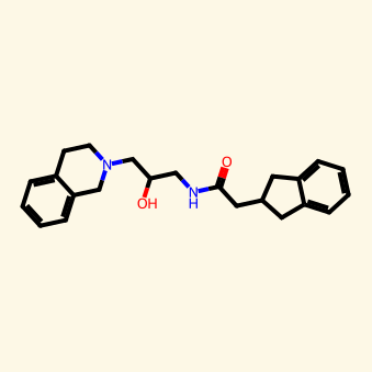 O=C(CC1Cc2ccccc2C1)NCC(O)CN1CCc2ccccc2C1